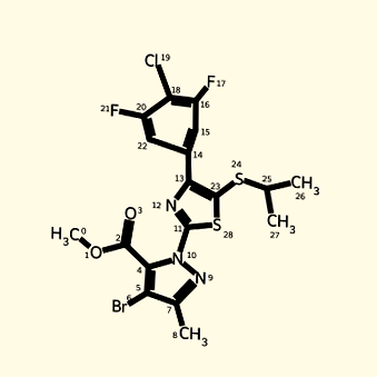 COC(=O)c1c(Br)c(C)nn1-c1nc(-c2cc(F)c(Cl)c(F)c2)c(SC(C)C)s1